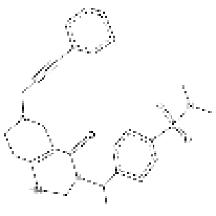 CC(c1ccc(S(=O)(=O)N(C)C)cc1)N1CNC2=C(CN(CC#Cc3ccccc3)CC2)C1=O